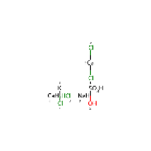 Cl.O=S(=O)(O)O.[CaH2].[Cl][Ca][Cl].[Cl][K].[NaH]